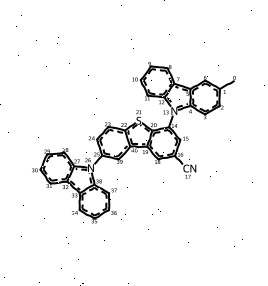 Cc1ccc2c(c1)c1ccccc1n2-c1cc(C#N)cc2c1sc1ccc(-n3c4ccccc4c4ccccc43)cc12